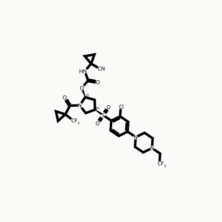 N#CC1(NC(=O)O[C@H]2C[C@@H](S(=O)(=O)c3ccc(N4CCN(CC(F)(F)F)CC4)cc3Cl)CN2C(=O)C2(C(F)(F)F)CC2)CC1